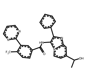 CC(O)c1ccn2c(NC(=O)c3ccc(C(F)(F)F)c(-c4ncccn4)c3)c(-c3ccccc3)nc2c1